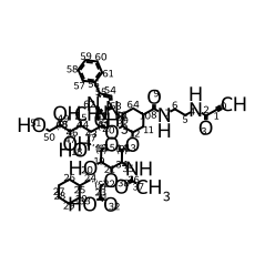 C#CC(=O)NCCNC(=O)C1CC(O[C@@H]2O[C@@H](CO)C(O)C(O[C@@H](CC3CCCCC3)C(=O)O)C2NC(C)=O)C(O[C@@H](C)CC(C)C(O)[C@H](O)CO)[C@H](n2cc(-c3ccccc3)nn2)C1